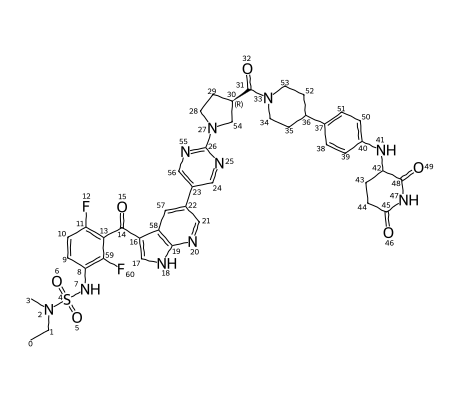 CCN(C)S(=O)(=O)Nc1ccc(F)c(C(=O)c2c[nH]c3ncc(-c4cnc(N5CC[C@@H](C(=O)N6CCC(c7ccc(NC8CCC(=O)NC8=O)cc7)CC6)C5)nc4)cc23)c1F